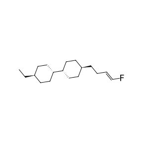 CC[C@H]1CC[C@H]([C@H]2CC[C@H](CCC=CF)CC2)CC1